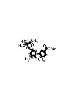 COC(=O)c1ccc(C)c(-n2nc(B3OC(C)(C)C(C)(C)O3)cc(C)c2=O)c1